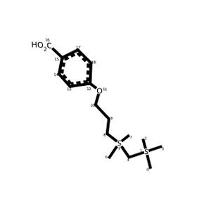 CS(C)(C)CS(C)(C)CCCOc1ccc(C(=O)O)cc1